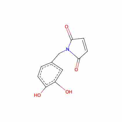 O=C1C=CC(=O)N1Cc1ccc(O)c(O)c1